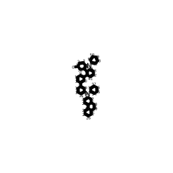 CC1C=Cc2c(c3c(-c4cccc(-c5cccc(N(C6=CC=C7c8ccccc8C=CC7C6)c6ccccc6)c5)c4)cccc3n2-c2ccccc2)C1